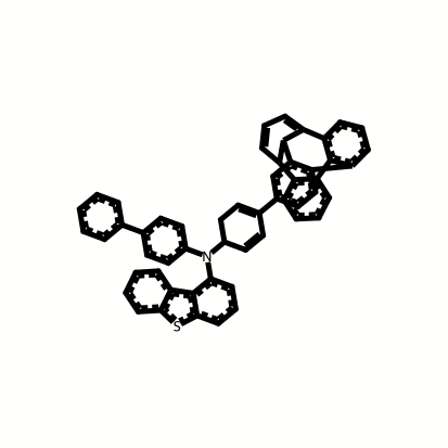 C1=CC2c3ccccc3-c3c4cccc3-c3ccc(C5=CCC(N(c6ccc(-c7ccccc7)cc6)c6cccc7sc8ccccc8c67)C=C5)cc3C2C4=C1